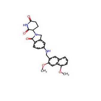 COc1cc2c(OC)cccc2cc1CNc1ccc2c(c1)CN(C1CCC(=O)NC1=O)C2=O